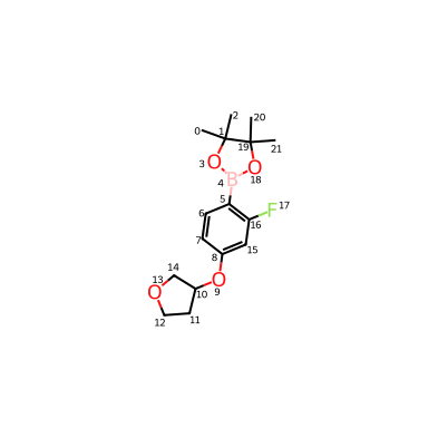 CC1(C)OB(c2ccc(OC3CCOC3)cc2F)OC1(C)C